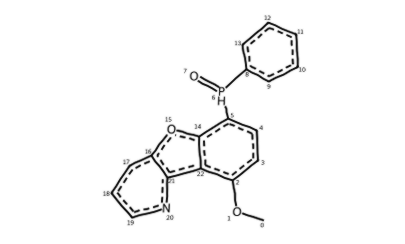 COc1ccc([PH](=O)c2ccccc2)c2oc3cccnc3c12